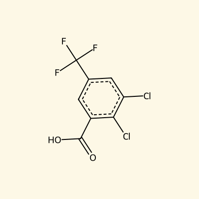 O=C(O)c1cc(C(F)(F)F)cc(Cl)c1Cl